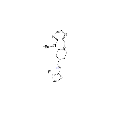 CC(C)(C)Oc1nccnc1CN1CCC(/C=C/c2sccc2F)CC1